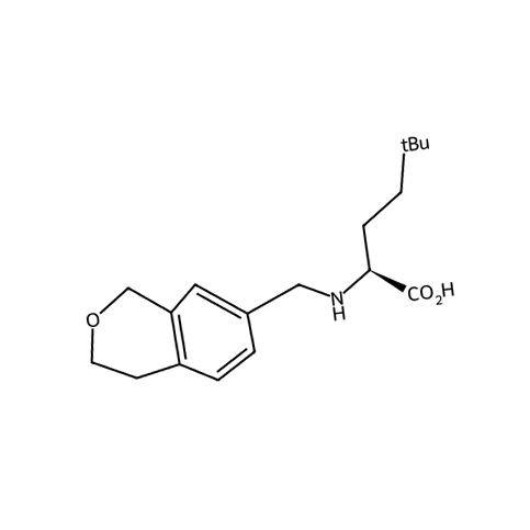 CC(C)(C)CC[C@H](NCc1ccc2c(c1)COCC2)C(=O)O